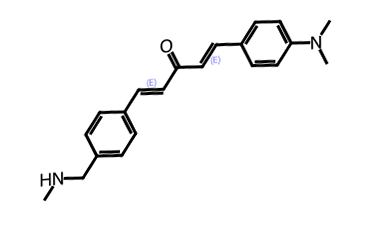 CNCc1ccc(/C=C/C(=O)/C=C/c2ccc(N(C)C)cc2)cc1